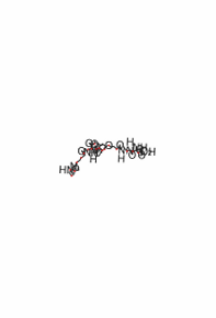 COC(=O)C(CNC(=O)CCCCc1ccc2c(n1)NCCC2)NS(=O)(=O)c1c(C)cc(OCCCC(=O)NCCNC(=O)C(N)CS(=O)(=O)O)cc1C